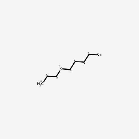 CCCSCCCC[S]